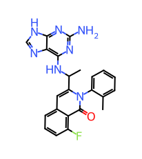 Cc1ccccc1-n1c(C(C)Nc2nc(N)nc3[nH]cnc23)cc2cccc(F)c2c1=O